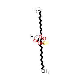 CCC(=O)O.CCCCCCCCCCCCOC(=O)CC(S)CCCCCCCCCCCC